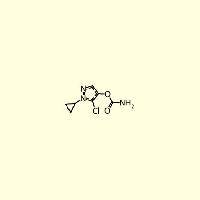 NC(=O)Oc1cnn(C2CC2)c1Cl